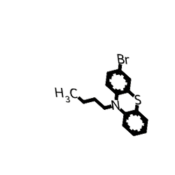 CCCCN1c2ccccc2Sc2cc(Br)ccc21